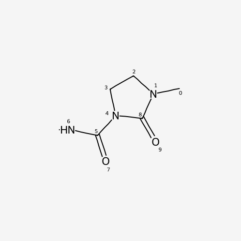 CN1CCN(C([NH])=O)C1=O